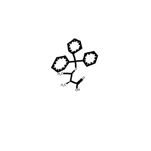 CC(OC(c1ccccc1)(c1ccccc1)c1ccccc1)[C@H](C)C(=O)O